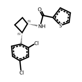 O=C(N[C@H]1CC[C@H]1c1ccc(Cl)cc1Cl)c1cccs1